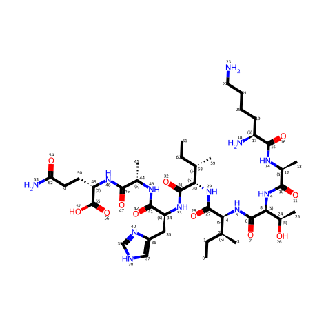 CC[C@H](C)[C@H](NC(=O)[C@@H](NC(=O)[C@H](C)NC(=O)[C@@H](N)CCCCN)[C@@H](C)O)C(=O)N[C@H](C(=O)N[C@@H](Cc1c[nH]cn1)C(=O)N[C@@H](C)C(=O)N[C@@H](CCC(N)=O)C(=O)O)[C@@H](C)CC